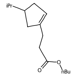 CCCCOC(=O)CCC1=CCC(C(C)C)C1